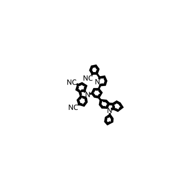 N#Cc1ccc2c(c1)c1cc(C#N)ccc1n2-c1cc(-c2ccc3c(c2)c2ccccc2n3-c2ccccc2)cc(-c2cccc(-c3ccccc3C#N)n2)c1